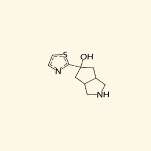 OC1(c2nccs2)CC2CNCC2C1